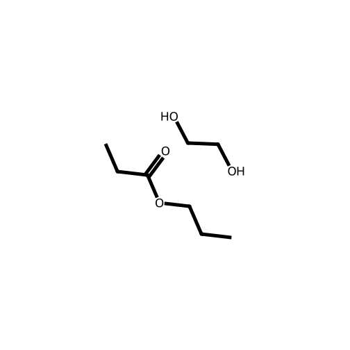 CCCOC(=O)CC.OCCO